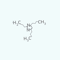 [CH2]CCCc1nc(CCCC)cc(CCCC)n1